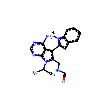 CC(C)n1c(CNC=O)c(-c2cc3ccccc3n2C)c2c(N)ncnc21